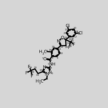 CCn1nc(NC(=O)c2ccc(C3=NOC(c4cc(Cl)cc(Cl)c4)(C(F)(F)F)C3)cc2C)nc1CCC(F)(F)F